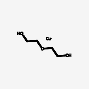 OCCOCCO.[Cu]